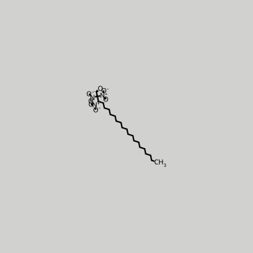 CCCCCCCCCCCCCCCCCCCC([N+](=O)[O-])C([C]=O)([N+](=O)[O-])[N+](=O)[O-]